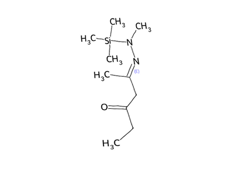 CCC(=O)C/C(C)=N/N(C)[Si](C)(C)C